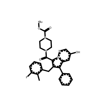 Cc1c(F)cccc1Cc1c(-c2ccccc2)c2cc(O)cnn2c1C(=O)N1CCN(C(=O)OC(C)(C)C)CC1